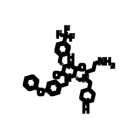 NCCCN(CC1CCNCC1)C[C@H]1C(=O)N[C@@H](Cc2ccc(C(F)(F)F)cc2)C(=O)N1Cc1ccc(Oc2ccccc2)cc1